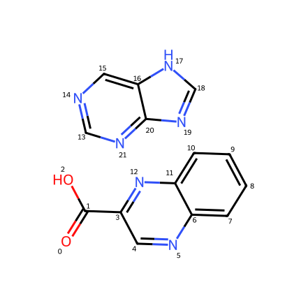 O=C(O)c1cnc2ccccc2n1.c1ncc2[nH]cnc2n1